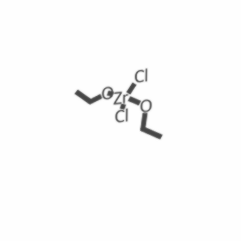 CC[O][Zr]([Cl])([Cl])[O]CC